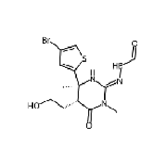 CN1C(=O)[C@H](CCO)[C@@](C)(c2cc(Br)cs2)N/C1=N\BC=O